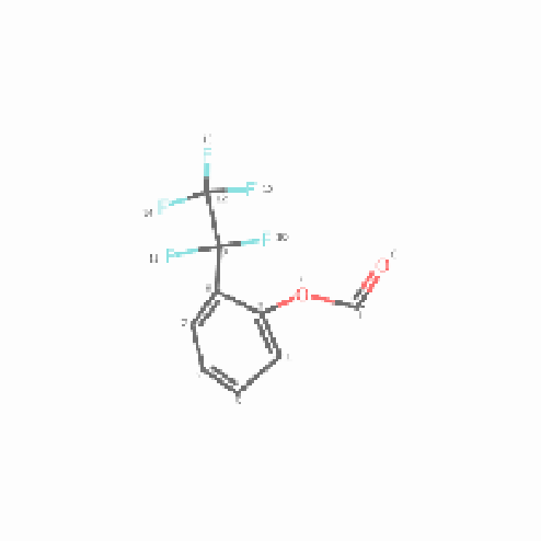 O=[C]Oc1ccccc1C(F)(F)C(F)(F)F